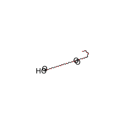 CC/C=C\C/C=C\C/C=C\CCCCCCCC(=O)OCCCCCCCCCCCCCCCCCCCCCCCCCC(=O)O